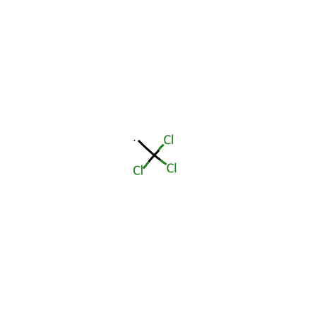 [CH2]C(Cl)(Cl)Cl